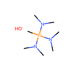 CN(C)[P+](C)(N(C)C)N(C)C.[OH-]